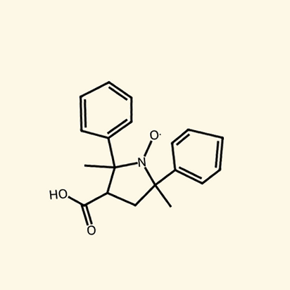 CC1(c2ccccc2)CC(C(=O)O)C(C)(c2ccccc2)N1[O]